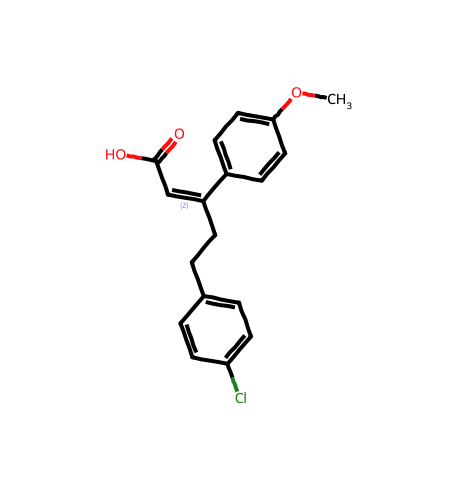 COc1ccc(/C(=C\C(=O)O)CCc2ccc(Cl)cc2)cc1